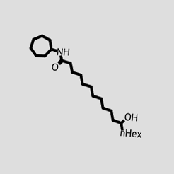 CCCCCCC(O)CCCCCCCCCCC(=O)NC1CCCCCC1